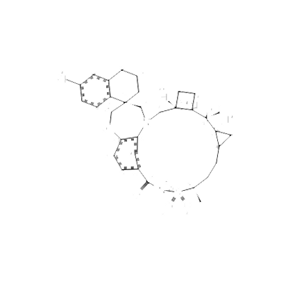 C[C@@H]1CCC2C[C@@H]2[C@@](C)(O)[C@@H]2CC[C@H]2CN2C[C@@]3(CCCc4cc(Cl)ccc43)COc3ccc(cc32)C(=O)NS1(=O)=O